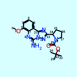 COc1cccc2c1nc(N)n1nc(C3CCCN3C(=O)OC(C)(C)C)nc21